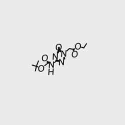 CCOC(=O)Cn1cnc(NC(=O)OC(C)(C)C)nc1=O